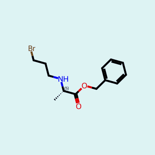 C[C@H](NCCCBr)C(=O)OCc1ccccc1